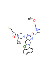 CCCOCCCN1CCC1COc1nc2c(c(N3CCN(C(=O)/C=C/CF)[C@@H](CC#N)C3)n1)CCN(c1cccc3cccc(Cl)c13)C2